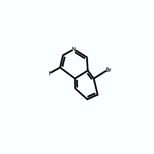 Brc1cccc2c(I)cncc12